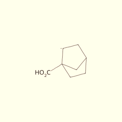 O=C(O)C12[CH]CC(CC1)C2